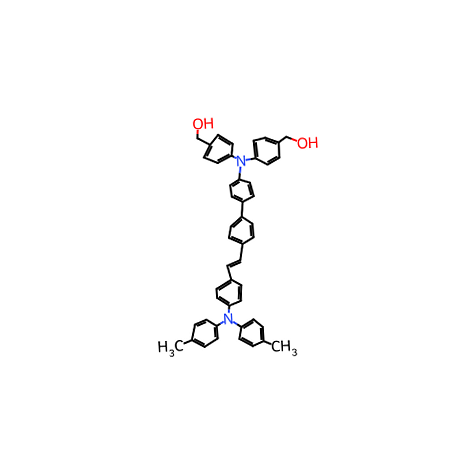 Cc1ccc(N(c2ccc(C)cc2)c2ccc(/C=C/c3ccc(-c4ccc(N(c5ccc(CO)cc5)c5ccc(CO)cc5)cc4)cc3)cc2)cc1